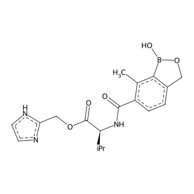 Cc1c(C(=O)N[C@H](C(=O)OCc2ncc[nH]2)C(C)C)ccc2c1B(O)OC2